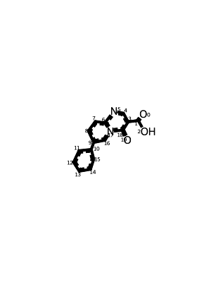 O=C(O)c1cnc2ccc(-c3ccccc3)cn2c1=O